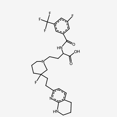 O=C(NC(CCN1CCCC(F)(CCc2ccc3c(n2)NCCC3)C1)C(=O)O)c1cc(F)cc(C(F)(F)F)c1